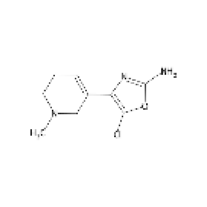 CN1CCC=C(c2nc(N)oc2Cl)C1